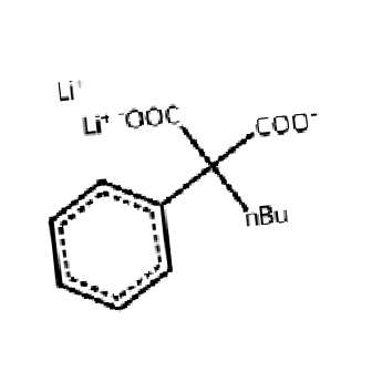 CCCCC(C(=O)[O-])(C(=O)[O-])c1ccccc1.[Li+].[Li+]